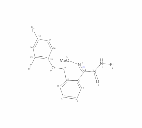 CCNC(=O)/C(=N/OC)c1ccccc1COc1ccc(F)cc1F